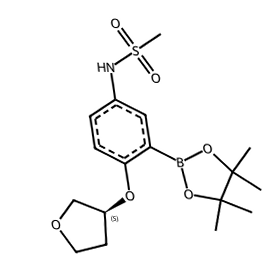 CC1(C)OB(c2cc(NS(C)(=O)=O)ccc2O[C@H]2CCOC2)OC1(C)C